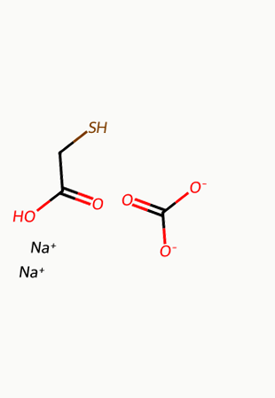 O=C(O)CS.O=C([O-])[O-].[Na+].[Na+]